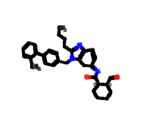 CCCCc1nc2c(n1Cc1ccc(-c3ccccc3C)cc1)CC(=NC(=O)[C@@H]1CCCC[C@@H]1C=O)C=C2